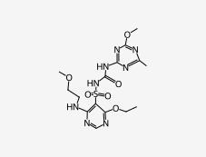 CCOc1ncnc(NCCOC)c1S(=O)(=O)NC(=O)Nc1nc(C)nc(OC)n1